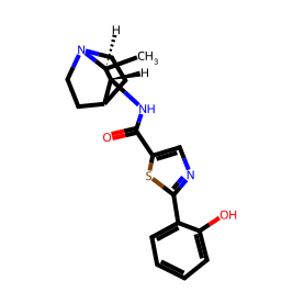 C[C@H]1[C@H](NC(=O)c2cnc(-c3ccccc3O)s2)C2CCN1CC2